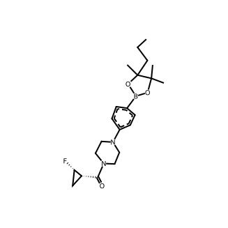 CCCC1(C)OB(c2ccc(N3CCN(C(=O)[C@@H]4C[C@@H]4F)CC3)cc2)OC1(C)C